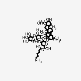 CC1O[C@@H](OC2C(O)[C@@H](NC(=O)CCCCCN)C(CO)O[C@H]2OC(=O)[C@]23CCC(C)(C)CC2C2=CCC4C5(C)CC[C@H](O)[C@](C)(C=O)[C@@H]5CC[C@]4(C)[C@]2(C)CC3)C(O)C(O)[C@H]1O[C@@H]1OC[C@@H](O)C(O)C1O